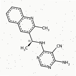 Cc1nc2ccccc2cc1[C@H](C)Nc1ncnc(N)c1C#N